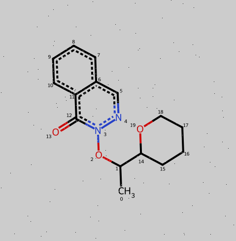 CC(On1ncc2ccccc2c1=O)C1CCCCO1